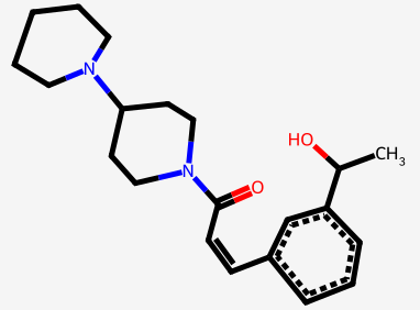 CC(O)c1cccc(/C=C\C(=O)N2CCC(N3CCCCC3)CC2)c1